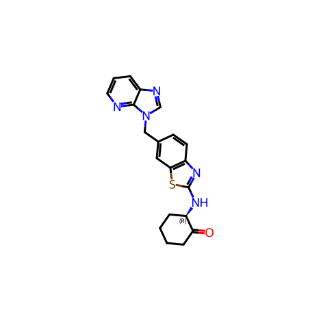 O=C1CCCC[C@H]1Nc1nc2ccc(Cn3cnc4cccnc43)cc2s1